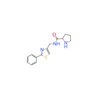 O=C(NCc1csc(-c2ccccc2)n1)C1CCCN1